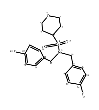 O=S(=O)(C1CCOCC1)N(Cc1ccc(F)cc1)Cc1ccc(F)cc1